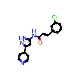 O=C(C=Cc1cccc(Cl)c1)Nc1cc(-c2ccncc2)n[nH]1